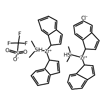 C[SiH](C)[Zr+]([CH]1C=Cc2ccccc21)[CH]1C=Cc2ccccc21.C[SiH](C)[Zr+]([CH]1C=Cc2ccccc21)[CH]1C=Cc2ccccc21.O=S(=O)([O-])C(F)(F)F.[Cl-]